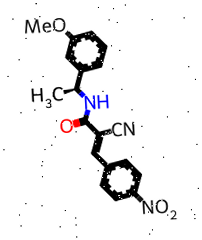 COc1cccc([C@H](C)NC(=O)/C(C#N)=C/c2ccc([N+](=O)[O-])cc2)c1